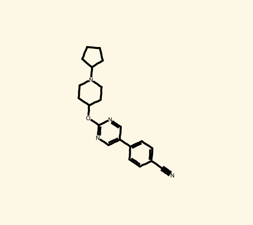 N#Cc1ccc(-c2cnc(OC3CCN(C4CCCC4)CC3)nc2)cc1